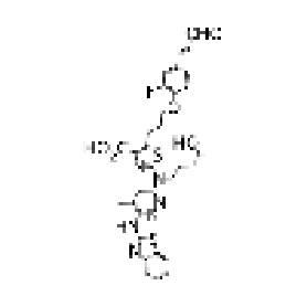 Cc1cc(N(CCCC(C)O)c2nc(C(=O)O)c(CCCOc3ccc(/C=C/C=O)cc3F)s2)nnc1Nc1nc2ccccc2s1